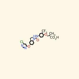 CC(COc1ccc(NC(=O)N2CCc3cc(Oc4cc(Cl)ncn4)ccc32)cc1C(F)(F)F)C(=O)O